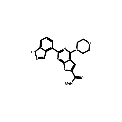 CNC(=O)c1cc2c(N3CCOCC3)nc(-c3cccc4[nH]ncc34)nc2s1